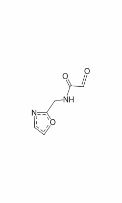 O=CC(=O)NCc1ncco1